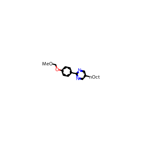 CCCCCCCCc1cnc(-c2ccc(OCOC)cc2)nc1